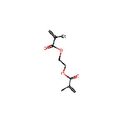 C=C(C)C(=O)OCCOC(=O)C(=C)CC